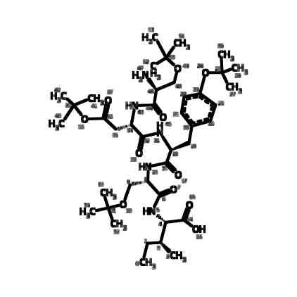 CC[C@H](C)[C@H](NC(=O)[C@H](COC(C)(C)C)NC(=O)[C@H](Cc1ccc(OC(C)(C)C)cc1)NC(=O)[C@H](CC(=O)OC(C)(C)C)NC(=O)[C@@H](N)COC(C)(C)C)C(=O)O